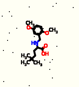 COc1ccc(OC)c(CNC(CCC(C)(C)C)C(=O)O)c1